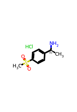 C[C@H](N)c1ccc(S(C)(=O)=O)cc1.Cl